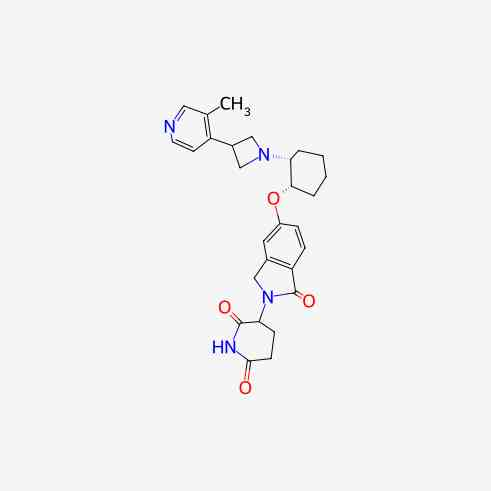 Cc1cnccc1C1CN([C@@H]2CCCC[C@@H]2Oc2ccc3c(c2)CN(C2CCC(=O)NC2=O)C3=O)C1